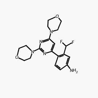 Nc1ccc(-c2cc(N3CCOCC3)nc(N3CCOCC3)n2)c(C(F)F)c1